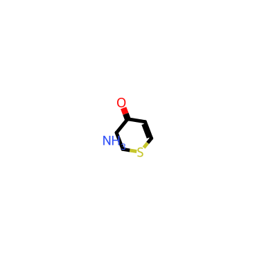 N.O=C1C=CSCC1